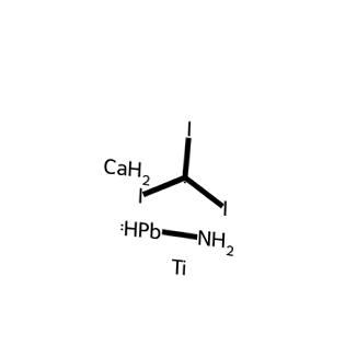 I[C](I)I.[CaH2].[NH2][PbH].[Ti]